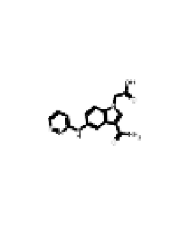 NC(=O)c1cn(CC(=O)O)c2ccc(Nc3cccnn3)cc12